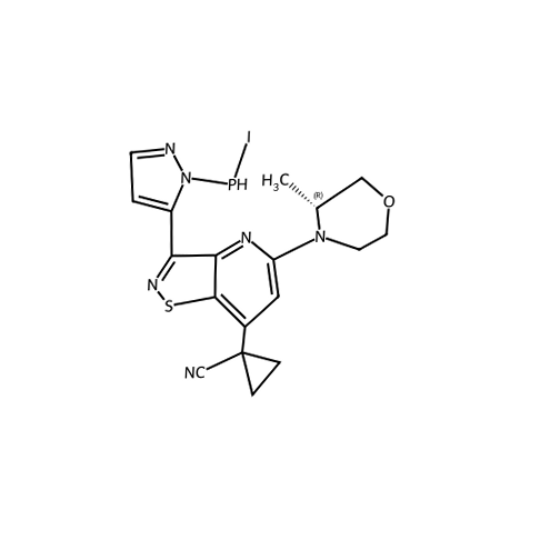 C[C@@H]1COCCN1c1cc(C2(C#N)CC2)c2snc(-c3ccnn3PI)c2n1